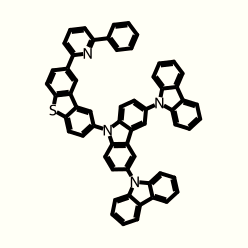 c1ccc(-c2cccc(-c3ccc4sc5ccc(-n6c7ccc(-n8c9ccccc9c9ccccc98)cc7c7cc(-n8c9ccccc9c9ccccc98)ccc76)cc5c4c3)n2)cc1